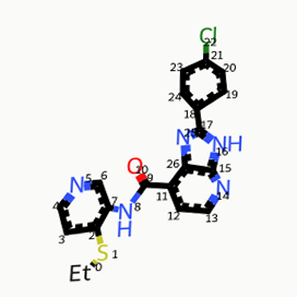 CCSc1ccncc1NC(=O)c1ccnc2[nH]c(-c3ccc(Cl)cc3)nc12